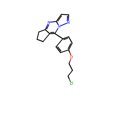 ClCCCOc1ccc(-c2c3c(nc4ccnn24)CCC3)cc1